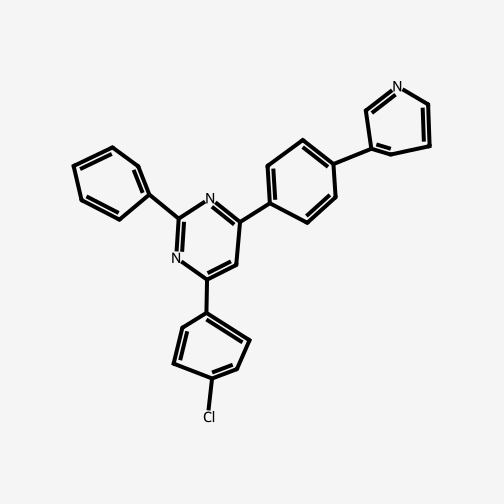 Clc1ccc(-c2cc(-c3ccc(-c4cccnc4)cc3)nc(-c3ccccc3)n2)cc1